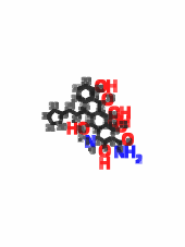 CN(C)C1C(O)=C(C(N)=O)C(=O)C2(O)C(O)=C3C(=O)c4c(O)cccc4C(CCC4CCCC4)C3C(O)C12